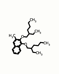 CCCCC(CC)COc1c(C)cc2ccccc2c1OCC(CC)CCCC